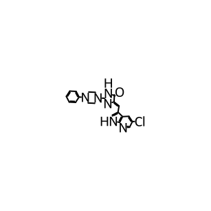 O=C1NC(N2CCN(c3ccccc3)CC2)=NC1=Cc1c[nH]c2ncc(Cl)cc12